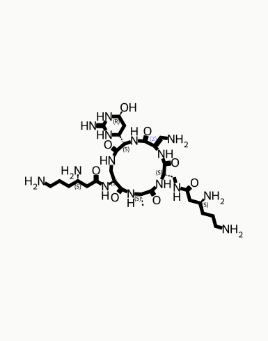 C[C@@H]1NC(=O)[C@@H](NC(=O)C[C@@H](N)CCCN)CNC(=O)[C@H](C2C[C@@H](O)NC(=N)N2)NC(=O)/C(=C/N)NC(=O)[C@H](CNC(=O)C[C@@H](N)CCCN)NC1=O